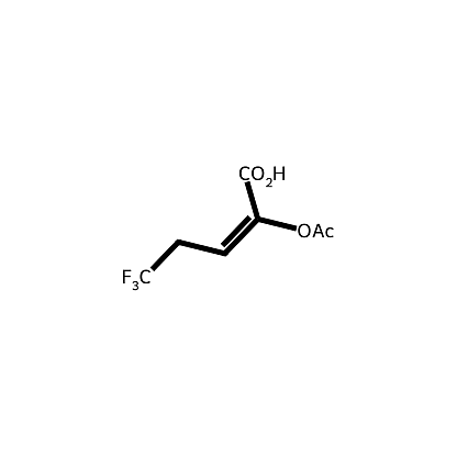 CC(=O)OC(=CCC(F)(F)F)C(=O)O